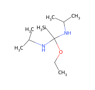 CCOC([SiH3])(NC(C)C)NC(C)C